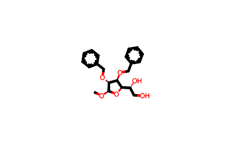 CO[C@@H]1O[C@H]([C@H](O)CO)[C@H](OCc2ccccc2)[C@H]1OCc1ccccc1